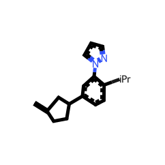 C=C1CCC(c2ccc(C(C)C)c(-n3cccn3)c2)C1